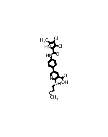 COCCNc1ncc(-c2ccc(NC(=O)c3[nH]c(C)c(Cl)c3Cl)cc2)cc1C(=O)O